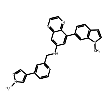 Cn1cc(-c2ccnc(CNc3cc(-c4ccc5ccn(C)c5c4)c4nccnc4c3)c2)cn1